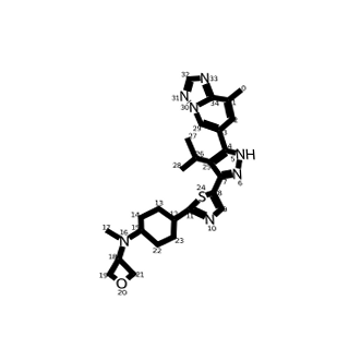 Cc1cc(-c2[nH]nc(-c3cnc(C4CCC(N(C)C5COC5)CC4)s3)c2C(C)C)cn2ncnc12